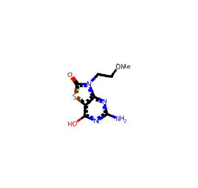 COCCn1c(=O)sc2c(O)nc(N)nc21